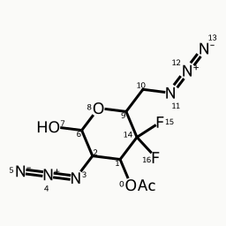 CC(=O)OC1C(N=[N+]=[N-])C(O)OC(CN=[N+]=[N-])C1(F)F